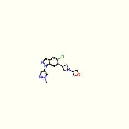 Cn1cc(-n2ncc3cc(Cl)c(C4CN(C5COC5)C4)cc32)cn1